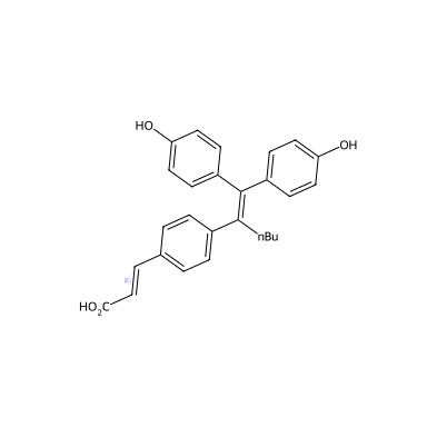 CCCCC(=C(c1ccc(O)cc1)c1ccc(O)cc1)c1ccc(/C=C/C(=O)O)cc1